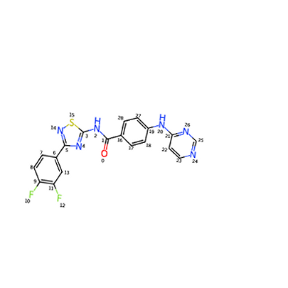 O=C(Nc1nc(-c2ccc(F)c(F)c2)ns1)c1ccc(Nc2ccncn2)cc1